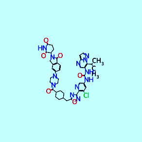 CC(C)c1c(NC(=O)Nc2cnc(-c3noc(CC4CCC(C(=O)N5CCN(c6ccc7c(c6)CN(C6CCC(=O)NC6=O)C7=O)CC5)CC4)n3)c(Cl)c2)cnc2ccnn12